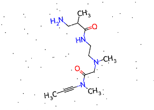 CC#CN(C)C(=O)CN(C)CCNC(=O)C(C)CN